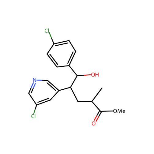 COC(=O)C(C)CC(c1cncc(Cl)c1)C(O)c1ccc(Cl)cc1